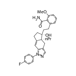 CCC[C@]12Cc3cnn(-c4ccc(F)cc4)c3C=C1CC[C@@]2(O)CCc1cccc(OC)c1C(N)=O